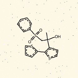 CC(O)(CS(=O)(=O)c1ccccc1)c1ccsc1-c1cccs1